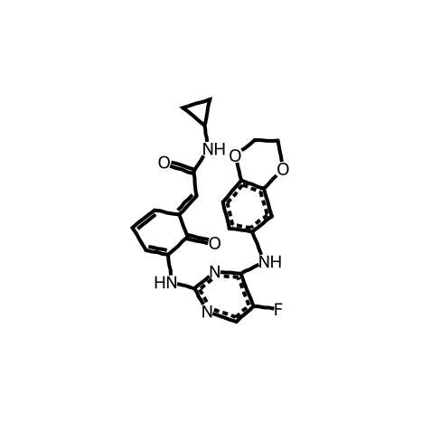 O=C(C=C1C=CC=C(Nc2ncc(F)c(Nc3ccc4c(c3)OCCO4)n2)C1=O)NC1CC1